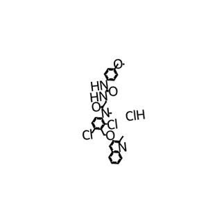 COc1ccc(NC(=O)NCC(=O)N(C)c2ccc(Cl)c(COc3cc4ccccc4nc3C)c2Cl)cc1.Cl